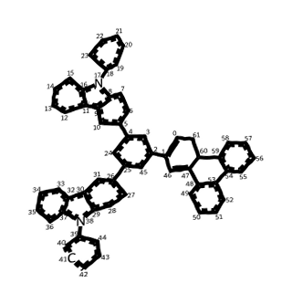 C1=C(c2cc(-c3ccc4c(c3)c3ccccc3n4-c3ccccc3)cc(-c3ccc4c(c3)c3ccccc3n4-c3ccccc3)c2)C=C2c3ccccc3-c3ccccc3C2C1